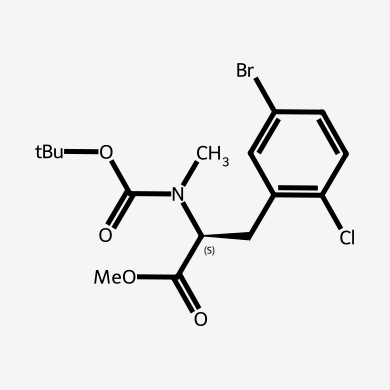 COC(=O)[C@H](Cc1cc(Br)ccc1Cl)N(C)C(=O)OC(C)(C)C